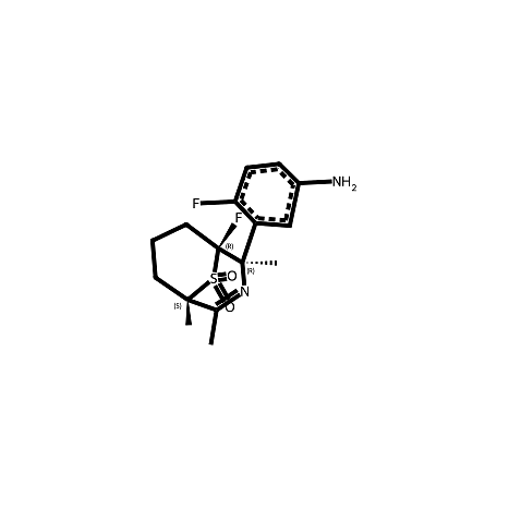 CC1=N[C@](C)(c2cc(N)ccc2F)[C@@]2(F)CCC[C@]1(C)S2(=O)=O